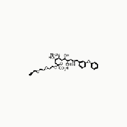 C#CCOCCOCCO[C@]1(C(=O)O)C[C@H](O)[C@@H](NC(C)=O)[C@H]([C@H](O)[C@H](O)CNCc2cccc(Oc3ccccc3)c2)O1